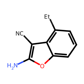 CCc1cccc2oc(N)c(C#N)c12